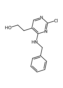 OCCc1cnc(Cl)nc1NCc1ccccc1